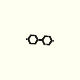 [CH]1CCC(C2CC[CH]CC2)CC1